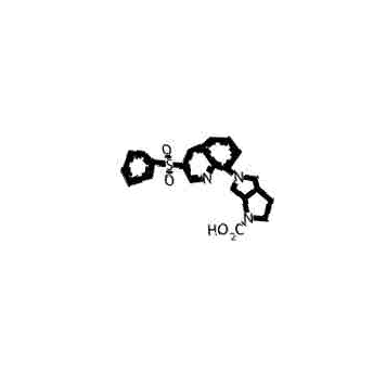 O=C(O)N1CCC2CN(c3cccc4cc(S(=O)(=O)c5ccccc5)cnc34)CC21